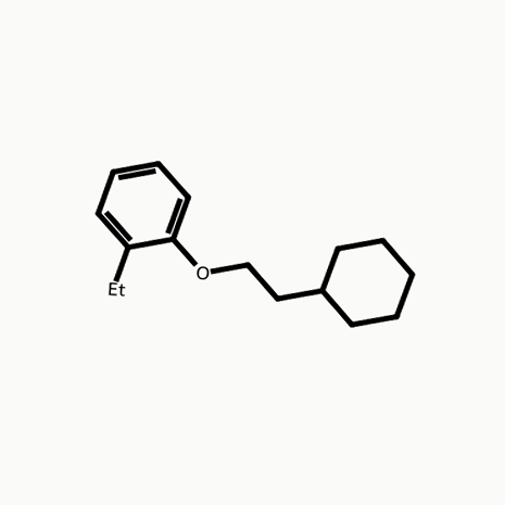 CCc1ccccc1OCCC1CCCCC1